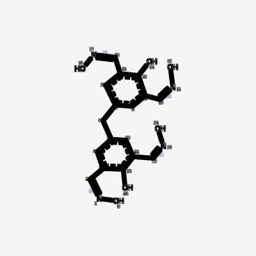 O/N=C\c1cc(Cc2cc(/C=N\O)c(O)c(/C=N\O)c2)cc(/C=N\O)c1O